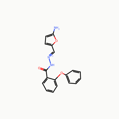 Nc1ccc(/C=N/NC(=O)c2ccccc2Oc2ccccc2)o1